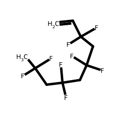 C=CC(F)(F)CC(F)(F)CC(F)(F)CC(C)(F)F